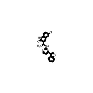 CC(Nc1nccc(-c2coc3ccccc23)n1)c1cc2cc(Cl)ccc2[nH]c1=O